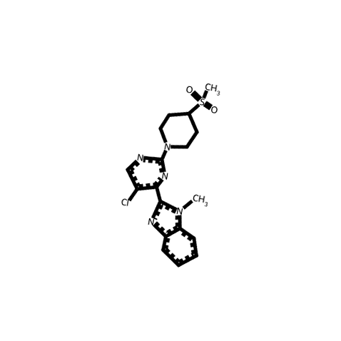 Cn1c(-c2nc(N3CCC(S(C)(=O)=O)CC3)ncc2Cl)nc2ccccc21